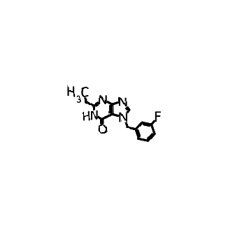 CCc1nc2ncn(Cc3cccc(F)c3)c2c(=O)[nH]1